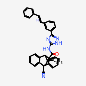 CC1(C(=O)Nc2nc(-c3cccc(/C=C/c4ccccc4)c3)n[nH]2)CC2(C#N)c3ccccc3C1c1ccccc12